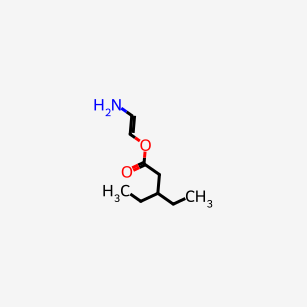 CCC(CC)CC(=O)OC=CN